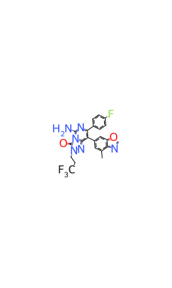 Cc1cc(-c2c(-c3ccc(F)cc3)nc(N)n3c(=O)n(CCC(F)(F)F)nc23)cc2ocnc12